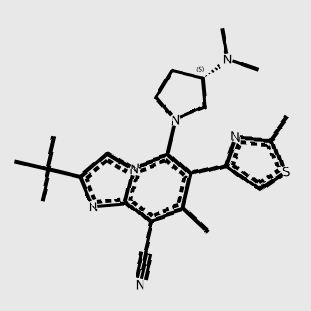 Cc1nc(-c2c(C)c(C#N)c3nc(C(C)(C)C)cn3c2N2CC[C@H](N(C)C)C2)cs1